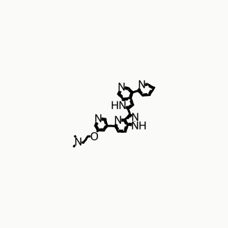 CN(C)CCOc1cncc(-c2ccc3[nH]nc(-c4cc5c(-c6ccccn6)cncc5[nH]4)c3n2)c1